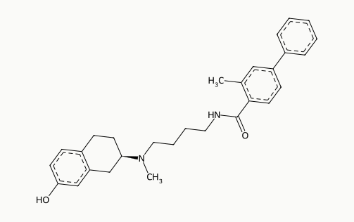 Cc1cc(-c2ccccc2)ccc1C(=O)NCCCCN(C)[C@@H]1CCc2ccc(O)cc2C1